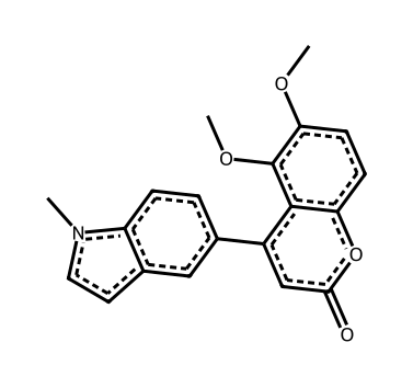 COc1ccc2oc(=O)cc(-c3ccc4c(ccn4C)c3)c2c1OC